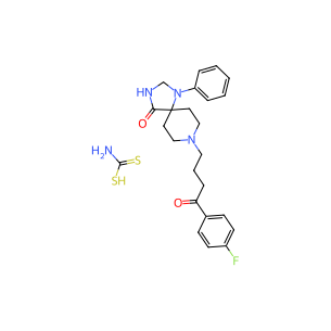 NC(=S)S.O=C(CCCN1CCC2(CC1)C(=O)NCN2c1ccccc1)c1ccc(F)cc1